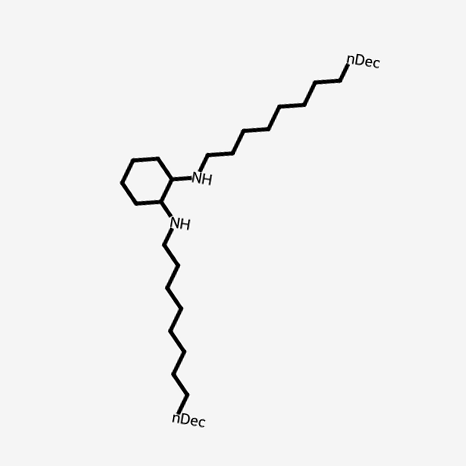 CCCCCCCCCCCCCCCCCCNC1CCCCC1NCCCCCCCCCCCCCCCCCC